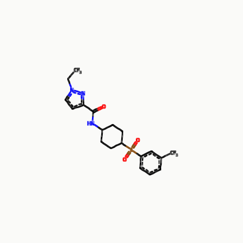 O=C(NC1CCC(S(=O)(=O)c2cccc(C(F)(F)F)c2)CC1)c1ccn(CC(F)(F)F)n1